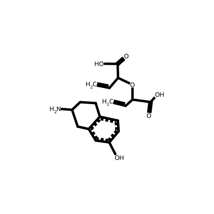 C=CC(OC(C=C)C(=O)O)C(=O)O.NC1CCc2ccc(O)cc2C1